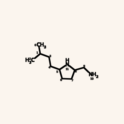 CC(C)CCC1CCC(CN)N1